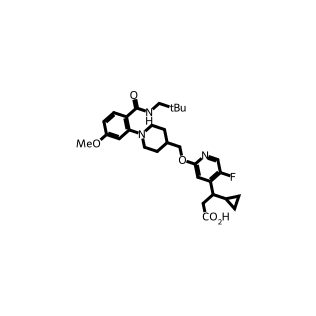 COc1ccc(C(=O)NCC(C)(C)C)c(N2CCC(COc3cc(C(CC(=O)O)C4CC4)c(F)cn3)CC2)c1